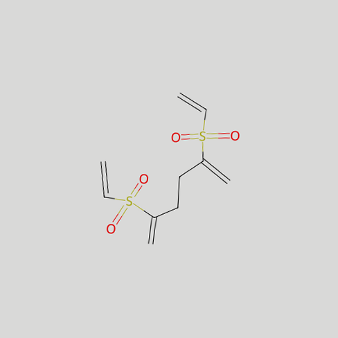 C=CS(=O)(=O)C(=C)CCC(=C)S(=O)(=O)C=C